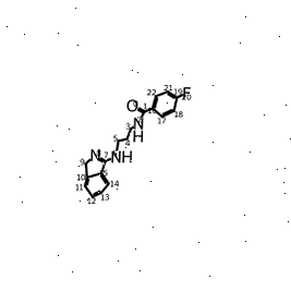 O=C(NCCCNC1=NCc2ccccc21)c1ccc(F)cc1